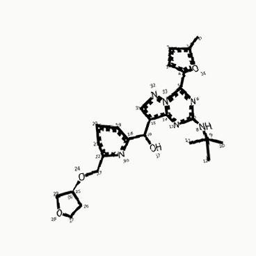 Cc1ccc(-c2nc(NC(C)(C)C)nc3c(C(O)c4cccc(CO[C@H]5CCOC5)n4)cnn23)o1